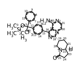 C[Si](C)(C)OC(c1ccccc1)(c1ccc(-c2nc([C@@H]3CC[C@H]4CCC(=O)N4C3)n3ccnc(N)c23)cc1)C(F)(F)F